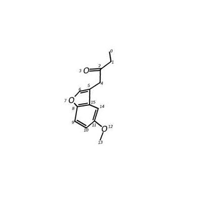 CCC(=O)Cc1coc2ccc(OC)cc12